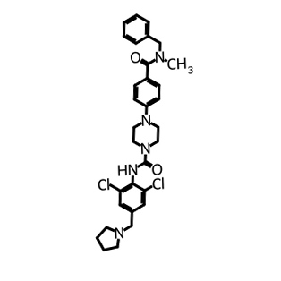 CN(Cc1ccccc1)C(=O)c1ccc(N2CCN(C(=O)Nc3c(Cl)cc(CN4CCCC4)cc3Cl)CC2)cc1